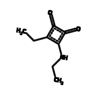 CCNc1c(CC)c(=O)c1=O